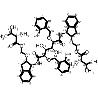 CC(C)[C@H](N)C(=O)OCO[C@@H]1Cc2ccccc2[C@@H]1NC(=O)[C@H](OCc1ccccc1F)[C@H](O)[C@@H](O)[C@@H](OCc1ccccc1F)C(=O)N[C@H]1c2ccccc2C[C@H]1OCOC(=O)[C@@H](N)C(C)C